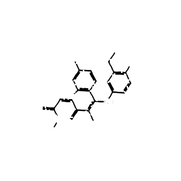 C=C(/C=C\C(=C)/C(C)=C(/Nc1ccc(O)c(CC)c1)c1ccc(Cl)cc1C)OC